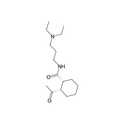 CCN(CC)CCCNC(=O)[C@@H]1CCCC[C@@H]1C(C)=O